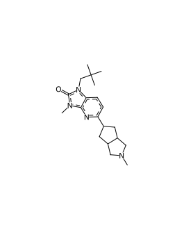 CN1CC2CC(c3ccc4c(n3)n(C)c(=O)n4CC(C)(C)C)CC2C1